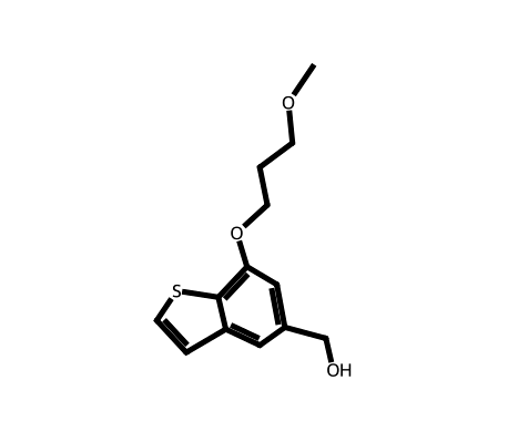 COCCCOc1cc(CO)cc2ccsc12